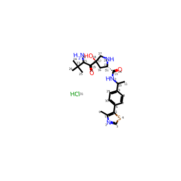 Cc1ncsc1-c1ccc(C(C)NC(=O)[C@@H]2C[C@](O)(C(=O)C(N)C(C)(C)C)CN2)cc1.Cl